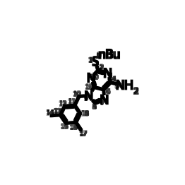 CCCCSc1nc(N)c2ncn(Cc3cc(C)cc(C)c3)c2n1